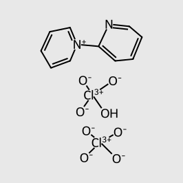 [O-][Cl+3]([O-])([O-])O.[O-][Cl+3]([O-])([O-])[O-].c1cc[n+](-c2ccccn2)cc1